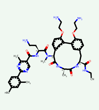 CCCCc1ccc(-c2ncc(C(=O)N[C@@H](CCN)C(=O)N(C)[C@@H]3C(=O)N[C@@H](C)C(=O)N[C@H](C(=O)NCC#N)Cc4ccc(OCCN)c(c4)-c4cc3ccc4OCCN)c(C)n2)c(C)c1